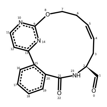 O=C[C@@H]1C/C=C\CCOc2nccc(n2)-c2ccccc2C(=O)N1